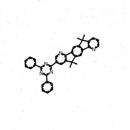 CC1(C)c2cc3c(cc2-c2ncccc21)C(C)(C)c1cc(-c2nc(-c4ccccc4)nc(-c4ccccc4)n2)cnc1-3